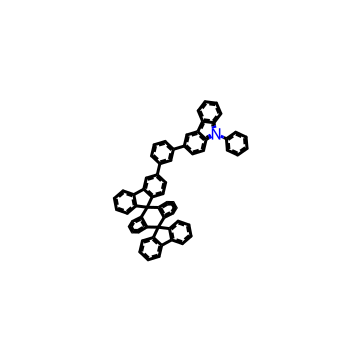 c1ccc(-n2c3ccccc3c3cc(-c4cccc(-c5ccc6c(c5)-c5ccccc5C65c6ccccc6C6(c7ccccc7-c7ccccc76)c6ccccc65)c4)ccc32)cc1